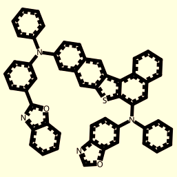 c1ccc(N(c2cccc(-c3nc4ccccc4o3)c2)c2ccc3cc4c(cc3c2)sc2c(N(c3ccccc3)c3ccc5ncoc5c3)cc3ccccc3c24)cc1